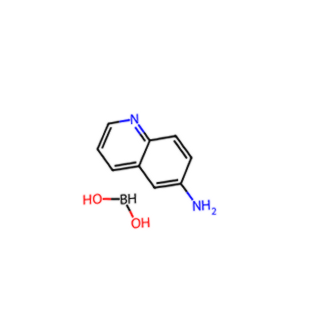 Nc1ccc2ncccc2c1.OBO